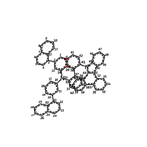 c1cc(-c2cccc3ccccc23)cc(N(c2cccc(-c3cccc4ccccc34)c2)c2ccccc2-c2ccccc2-n2c3ccccc3c3c4ccccc4c4ccccc4c32)c1